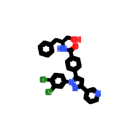 O=C(N[C@H](CO)Cc1ccccc1)c1ccc(-c2cc(-c3cccnc3)nn2-c2ccc(Cl)c(Cl)c2)cc1